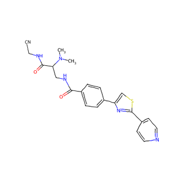 CN(C)C(CNC(=O)c1ccc(-c2csc(-c3ccncc3)n2)cc1)C(=O)NCC#N